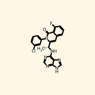 C[C@@H](Nc1ncnc2[nH]cnc12)c1cc2cccc(F)c2c(=O)n1-c1cccc(Cl)c1